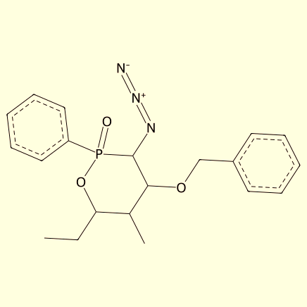 CCC1OP(=O)(c2ccccc2)C(N=[N+]=[N-])C(OCc2ccccc2)C1C